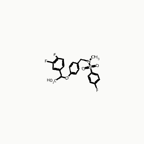 CN(Cc1ccc(OC(C(=O)O)c2ccc(F)c(F)c2)cc1)S(=O)(=O)c1ccc(F)cc1